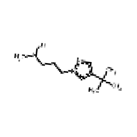 CN(C)CCCn1cc(C(C)(C)C)cn1